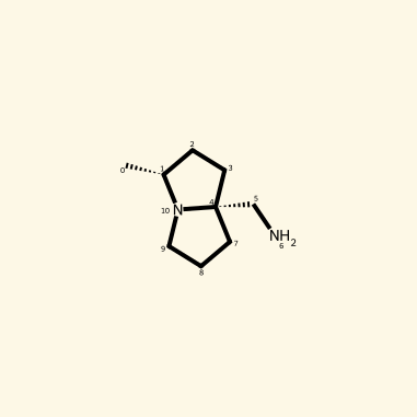 C[C@@H]1CC[C@@]2(CN)CCCN12